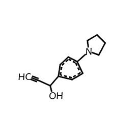 C#CC(O)c1ccc(N2CCCC2)cc1